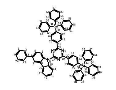 c1ccc(-c2ccc3c(c2)c2ccccc2n3-c2nc(-c3ccc([Si](c4ccccc4)(c4ccccc4)c4ccccc4)cc3)nc(-c3ccc([Si](c4ccccc4)(c4ccccc4)c4ccccc4)cc3)n2)cc1